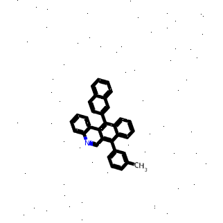 Cc1cccc(-c2c3ccccc3c(-c3ccc4ccccc4c3)c3c2cnc2ccccc23)c1